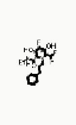 CCNC(=O)[C@@H]1[C@@H](O)[C@H](F)[C@H](O)[C@@H](C(F)F)N1CCCc1ccccc1